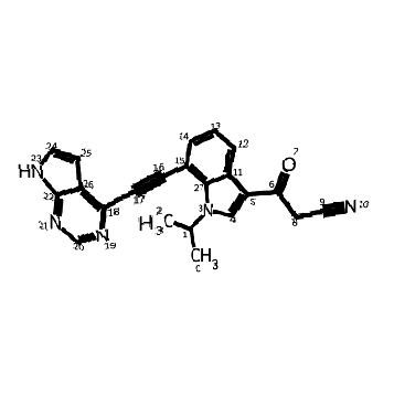 CC(C)n1cc(C(=O)CC#N)c2cccc(C#Cc3ncnc4[nH]ccc34)c21